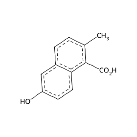 Cc1ccc2cc(O)ccc2c1C(=O)O